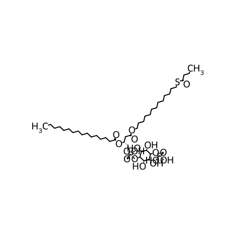 CCCCCCCCCCCCCCCC(=O)O[C@@H](COP(=O)(O)OC1C(O)[C@H](O)C(OP(=O)(O)O)[C@H](O)[C@@H]1O)CC(=O)OCCCCCCCCCCCCCSC(=O)CCC